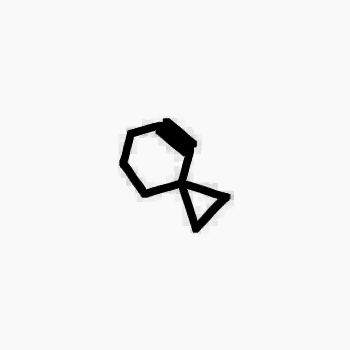 C1#CC2(CCC1)CC2